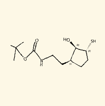 CC(C)(C)OC(=O)NCC[C@@H]1CC[C@@H](S)[C@@H]1O